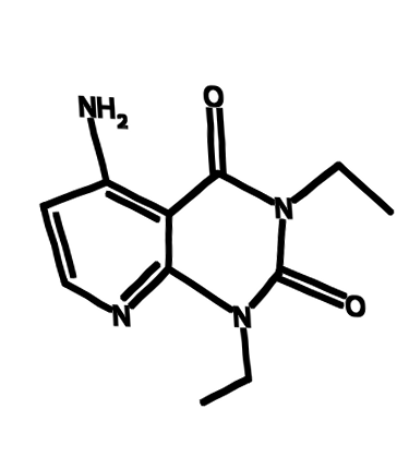 CCn1c(=O)c2c(N)ccnc2n(CC)c1=O